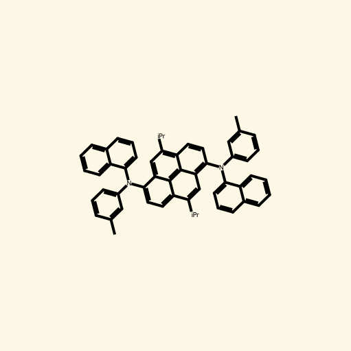 Cc1cccc(N(c2cccc3ccccc23)c2ccc3c(C(C)C)cc4c(N(c5cccc(C)c5)c5cccc6ccccc56)ccc5c(C(C)C)cc2c3c54)c1